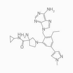 CCc1cc(-c2cnn(C)c2)cc(N2CCC(N)(C(=O)NC3CC3)C2)c1Cn1cnc2c(N)ncnc21